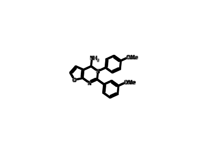 COc1ccc(N2C(c3cccc(OC)c3)=Nc3occc3C2N)cc1